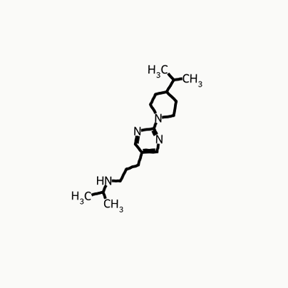 CC(C)NCCCc1cnc(N2CCC(C(C)C)CC2)nc1